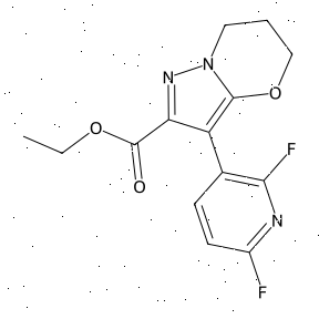 CCOC(=O)c1nn2c(c1-c1ccc(F)nc1F)OCCC2